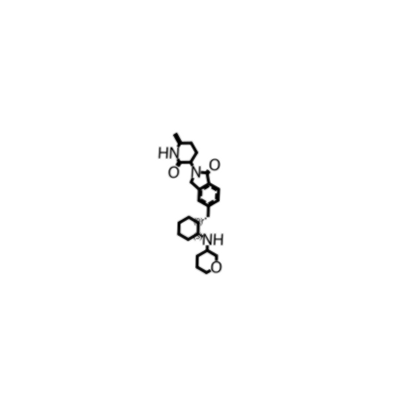 C=C1CCC(N2Cc3cc(C[C@H]4CCCC[C@@H]4NC4CCCOC4)ccc3C2=O)C(=O)N1